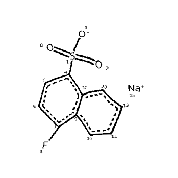 O=S(=O)([O-])c1ccc(F)c2ccccc12.[Na+]